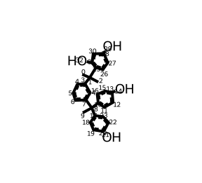 CC(C)(c1cccc(C(C)(c2ccc(O)cc2)c2ccc(O)cc2)c1)c1ccc(O)cc1O